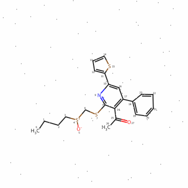 CCCC[S+]([O-])CSc1nc(-c2cccs2)cc(-c2ccccc2)c1C(C)=O